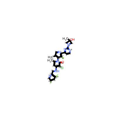 Cc1cnc(-c2ccnc(N3CC(C)(O)C3)n2)c(F)c1-n1c(C)cc(NCc2ncc(F)cc2F)c(Cl)c1=O